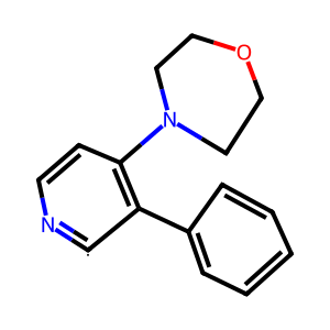 [c]1nccc(N2CCOCC2)c1-c1ccccc1